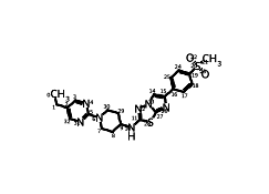 CCc1cnc(N2CCC(Nc3nn4cc(-c5ccc(S(C)(=O)=O)cc5)nc4s3)CC2)nc1